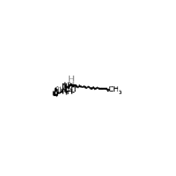 CCCCCCCCC=CCCCCCCCC(=O)Nc1nnc(NCCC2CCCN2C)s1